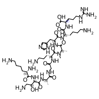 C[C@H](NC(=O)[C@@H](NC(=O)[C@@H](N)CCCCN)[C@@H](O)CN)C(=O)NCC(=O)N[C@H](CCCN)C(=O)N(C)[C@@H](C)C(=O)N[C@@H](Cc1cnc[nH]1)C(=O)N[C@@H](CCCCN)C(=O)N/C(=C\CCNC(=N)N)C(=O)O